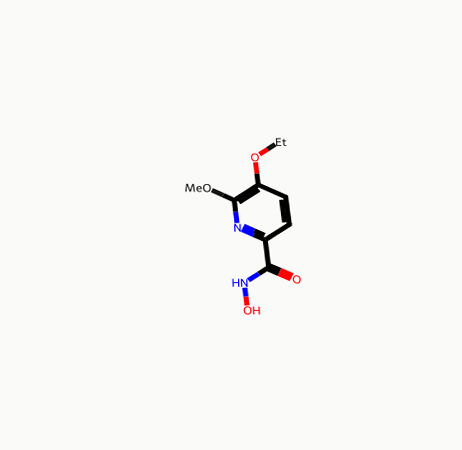 CCOc1ccc(C(=O)NO)nc1OC